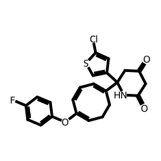 O=C1CC(=O)NC(/C2=C/C=C\C(Oc3ccc(F)cc3)=CCC2)(c2csc(Cl)c2)C1